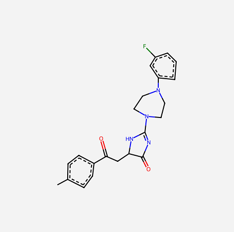 Cc1ccc(C(=O)CC2NC(N3CCN(c4cccc(F)c4)CC3)=NC2=O)cc1